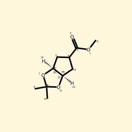 COC(=O)C1C[C@@H]2OC(C)(C)O[C@@H]2C1